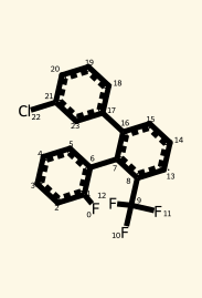 Fc1ccccc1-c1c(C(F)(F)F)[c]ccc1-c1cccc(Cl)c1